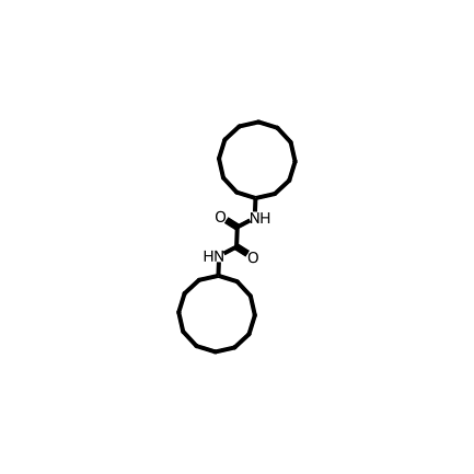 O=C(NC1CCCCCCCCCCC1)C(=O)NC1CCCCCCCCCCC1